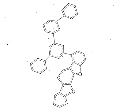 c1ccc(-c2cccc(-c3cc(-c4ccccc4)cc(-c4cccc5oc6c(ccc7c8ccccc8oc76)c45)c3)c2)cc1